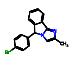 Cc1cn2c(n1)-c1ccccc1C2c1ccc(Br)cc1